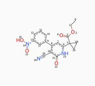 CCOC(=O)C1(c2cc(-c3cccc([N+](=O)O)c3)c(C#N)c(=O)[nH]2)CC1